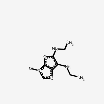 CCNc1oc2c(oc[n+]2[O-])c1NCC